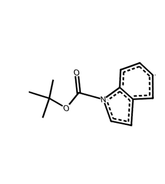 CC(C)(C)OC(=O)n1ccc2c[c]ccc21